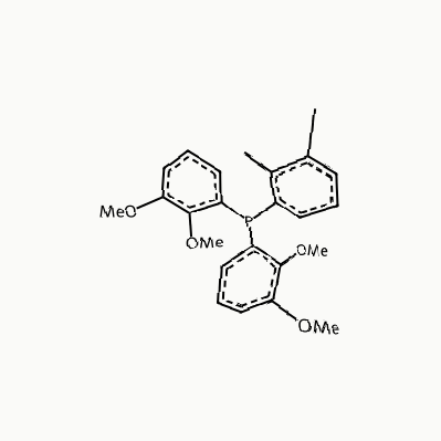 COc1cccc(P(c2cccc(C)c2C)c2cccc(OC)c2OC)c1OC